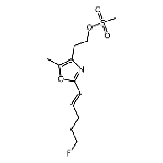 Cc1oc(/C=C/CCCF)nc1CCOS(C)(=O)=O